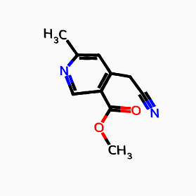 COC(=O)c1cnc(C)cc1CC#N